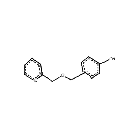 N#Cc1ccc(COCc2ccccn2)cc1